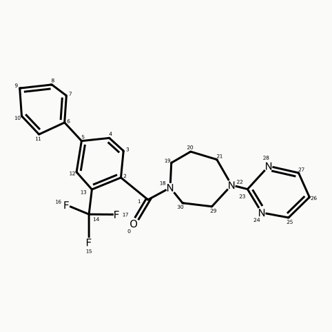 O=C(c1ccc(-c2ccccc2)cc1C(F)(F)F)N1CCCN(c2ncccn2)CC1